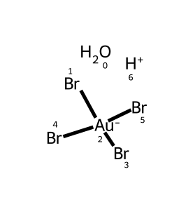 O.[Br][Au-]([Br])([Br])[Br].[H+]